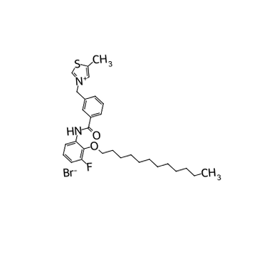 CCCCCCCCCCCCOc1c(F)cccc1NC(=O)c1cccc(C[n+]2csc(C)c2)c1.[Br-]